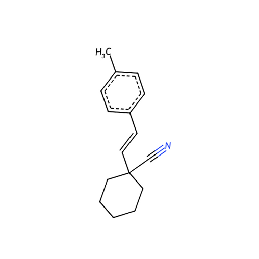 Cc1ccc(/C=C/C2(C#N)CCCCC2)cc1